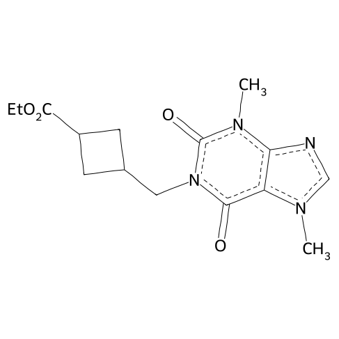 CCOC(=O)C1CC(Cn2c(=O)c3c(ncn3C)n(C)c2=O)C1